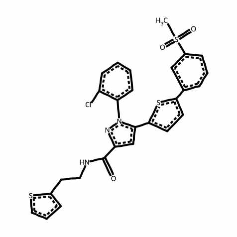 CS(=O)(=O)c1cccc(-c2ccc(-c3cc(C(=O)NCCc4cccs4)nn3-c3ccccc3Cl)s2)c1